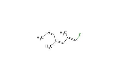 C\C=C/C(C)=C\C(C)=C\F